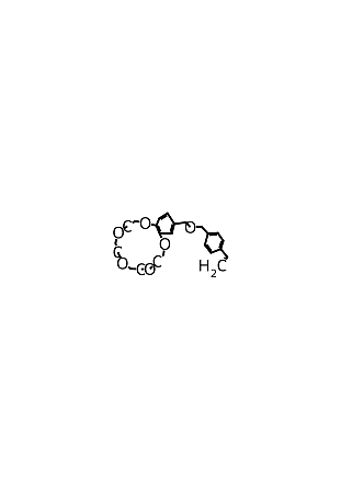 C=Cc1ccc(COCc2ccc3c(c2)OCCOCCOCCOCCO3)cc1